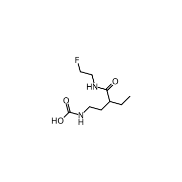 CCC(CCNC(=O)O)C(=O)NCCF